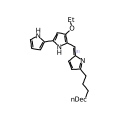 CCCCCCCCCCCCCC1=N/C(=C/c2[nH]c(-c3ccc[nH]3)cc2OCC)C=C1